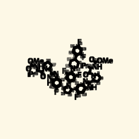 COC(=O)NC(C(=O)N1CCC[C@H]1c1nc2cc([C@H]3CC[C@H](c4cc5nc([C@@H]6CCCN6C(=O)[C@@H](NC(=O)OC)C(C)C)[nH]c5cc4F)N3c3cc(F)c(N4CCC(c5ccc(F)cc5F)CC4)c(F)c3)c(F)cc2[nH]1)C(C)C